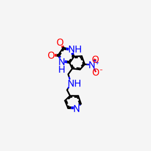 O=c1[nH]c2cc([N+](=O)[O-])cc(CNCc3ccncc3)c2[nH]c1=O